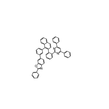 c1ccc(-c2cc(-c3ccccc3)nc(-c3ccccc3-c3ccc4ccccc4c3-c3cccc(-c4ccc5nc(-c6ccccc6)oc5c4)c3)n2)cc1